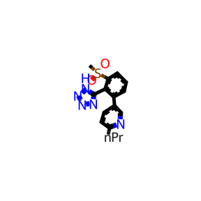 CCCc1ccc(-c2cccc(S(C)(=O)=O)c2-c2nnn[nH]2)cn1